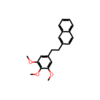 COc1cc(CCc2ccc3ccccc3c2)cc(OC)c1OC